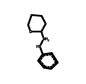 B([SiH2]C1CCCCO1)c1ccccc1